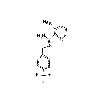 N#Cc1cccnc1/C(N)=N/Cc1ccc(C(F)(F)F)cc1